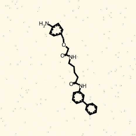 Nc1ccc(COCC(=O)NCCCCC(=O)Nc2cccc(-c3ccccc3)c2)cc1